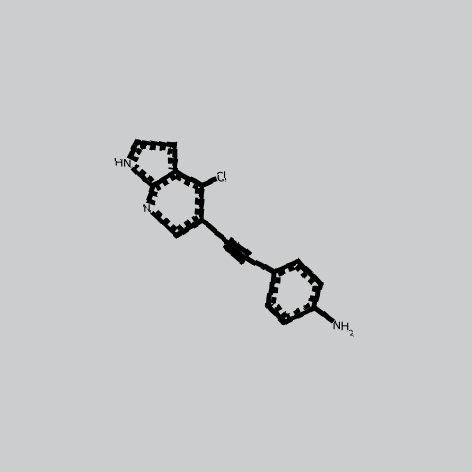 Nc1ccc(C#Cc2cnc3[nH]ccc3c2Cl)cc1